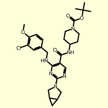 COc1ccc(CNc2nc(N3CC4CC4C3)ncc2C(=O)NC2CCN(C(=O)OC(C)(C)C)CC2)cc1Cl